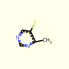 [CH2]c1ncncc1F